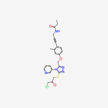 CCC(=O)NCC#Cc1ccc(OCc2nnc(SCC(=O)CCl)n2-c2cccnc2)cc1C